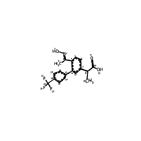 C/C(=N\O)c1ccc(C(C)C(=O)O)cc1-c1ccc(C(F)(F)F)cc1